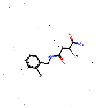 Cc1ccccc1CNC(=O)CC(N)C(N)=O